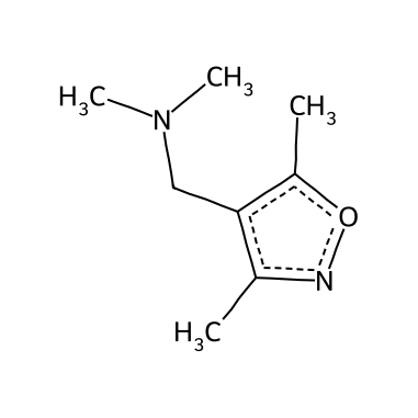 Cc1noc(C)c1CN(C)C